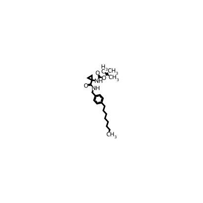 CCCCCCCCc1ccc(CNC(=O)C2(NC(=O)OC(C)(C)C)CC2)cc1